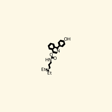 CCN(CC)CCCNC(=O)Oc1cnc(-c2ccc(O)cc2)c2ccccc12